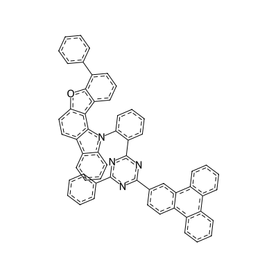 c1ccc(-c2nc(-c3ccc4c5ccccc5c5ccccc5c4c3)nc(-c3ccccc3-n3c4ccccc4c4ccc5oc6c(-c7ccccc7)cccc6c5c43)n2)cc1